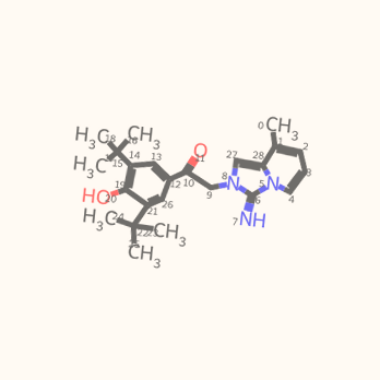 Cc1cccn2c(=N)n(CC(=O)c3cc(C(C)(C)C)c(O)c(C(C)(C)C)c3)cc12